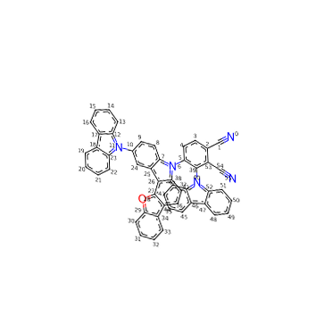 N#Cc1ccc(-n2c3ccc(-n4c5ccccc5c5ccccc54)cc3c3c4oc5ccccc5c4ccc32)c(-n2c3ccccc3c3ccccc32)c1C#N